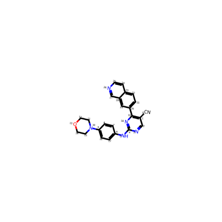 N#Cc1cnc(Nc2ccc(N3CCOCC3)cc2)nc1-c1ccc2ccncc2c1